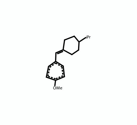 COc1ccc(C=C2CCC(C(C)C)CC2)cc1